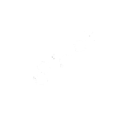 CC(C)(C)c1ccc(CCC(=O)Nc2ccc3ncccc3c2)cc1